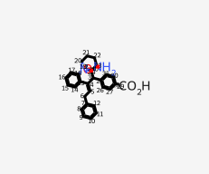 NC(=O)C(C(=CCc1ccccc1)c1ccccc1N1CCCCC1)c1ccc(C(=O)O)cc1